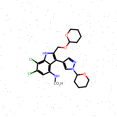 O=C(O)Nc1cc(Cl)c(Cl)c2[nH]c(COC3CCCCO3)c(-c3cnn(C4CCCCO4)c3)c12